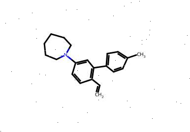 C=Cc1ccc(N2CCCCCC2)cc1-c1ccc(C)cc1